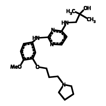 COc1ccc(Nc2nccc(NCC(C)(C)O)n2)cc1OCCCN1CCCC1